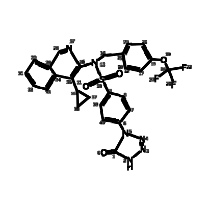 O=c1[nH]nnn1-c1ccc(S(=O)(=O)N(Cc2ccc(OC(F)(F)F)cc2)c2ncc3ccccc3c2C2CC2)cc1